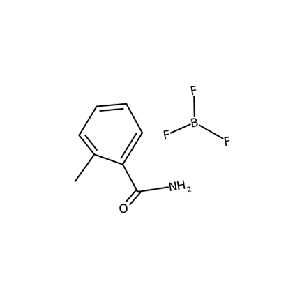 Cc1ccccc1C(N)=O.FB(F)F